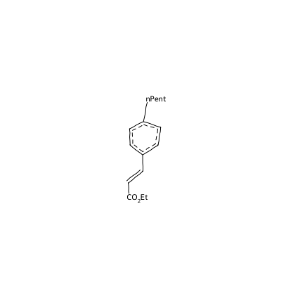 CCCCCc1ccc(C=CC(=O)OCC)cc1